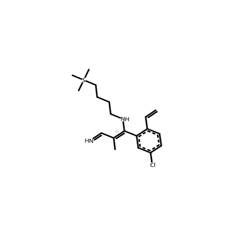 C=Cc1ccc(Cl)cc1/C(NCCCCS(C)(C)C)=C(\C)C=N